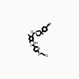 COCCN(C)c1ccc(C(=O)Nc2cc(C(=O)N3CCC(F)(c4ccc(C#N)cc4)CC3)c(C)cc2C)cn1